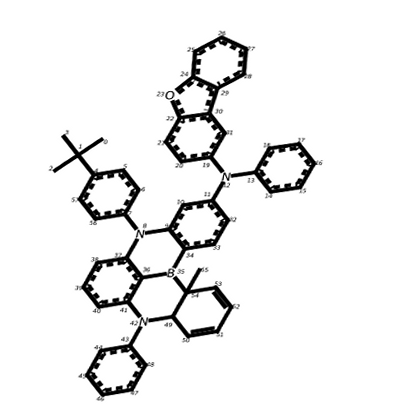 CC(C)(C)c1ccc(N2c3cc(N(c4ccccc4)c4ccc5oc6ccccc6c5c4)ccc3B3c4c2cccc4N(c2ccccc2)C2C=CC=CC32C)cc1